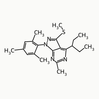 CCC(CC)c1nc(C)nc2c1c(SC)nn2-c1c(C)cc(C)cc1C